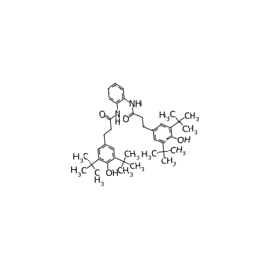 CC(C)(C)c1cc(CCC(=O)Nc2ccccc2NC(=O)CCc2cc(C(C)(C)C)c(O)c(C(C)(C)C)c2)cc(C(C)(C)C)c1O